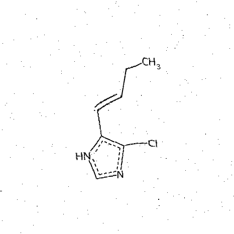 CCC=[C]c1[nH]cnc1Cl